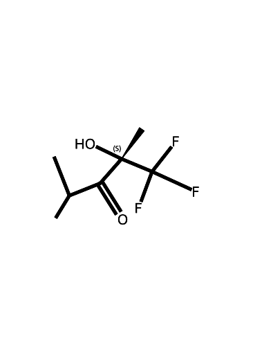 CC(C)C(=O)[C@](C)(O)C(F)(F)F